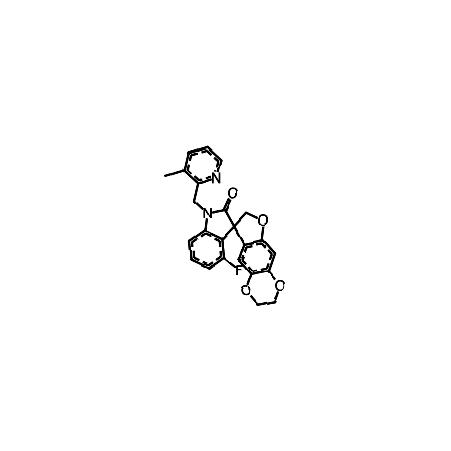 Cc1cccnc1CN1C(=O)C2(COc3cc4c(cc32)OCCO4)c2c(F)cccc21